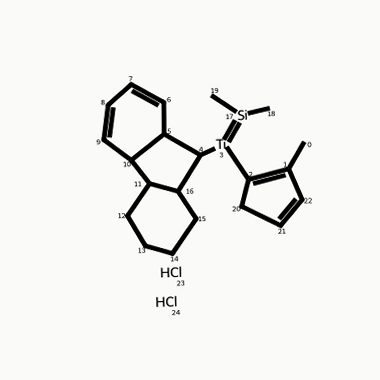 CC1=[C]([Ti]([CH]2C3C=CC=CC3C3CCCCC32)=[Si](C)C)CC=C1.Cl.Cl